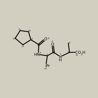 CC(NC(=O)C(NC(=O)C1CCCC1)C(C)C)C(=O)O